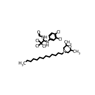 CCCCCCCCCCCCCN1CC(C)OC(C)C1.O=CNC(Nc1ccc(Cl)c(Cl)c1)C(Cl)(Cl)Cl